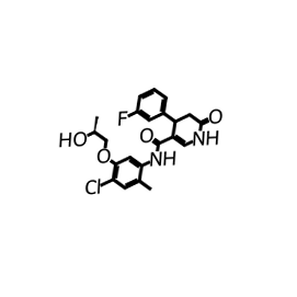 Cc1cc(Cl)c(OC[C@H](C)O)cc1NC(=O)C1=CNC(=O)CC1c1cccc(F)c1